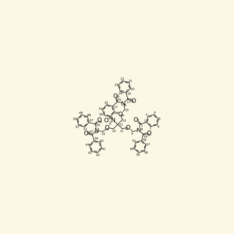 O=C(c1ccccc1)N(COCC(COCN(C(=O)c1ccccc1)C(=O)c1ccccc1)(COCN(C(=O)c1ccccc1)C(=O)c1ccccc1)[N+](=O)[O-])C(=O)c1ccccc1